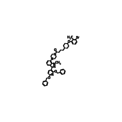 Cc1c(Br)cccc1OC1CCC(CCCC(=O)N2CCN(c3cccc4c(-c5ccc(OCc6ccccc6)nc5OCc5ccccc5)nn(C)c34)CC2)CC1